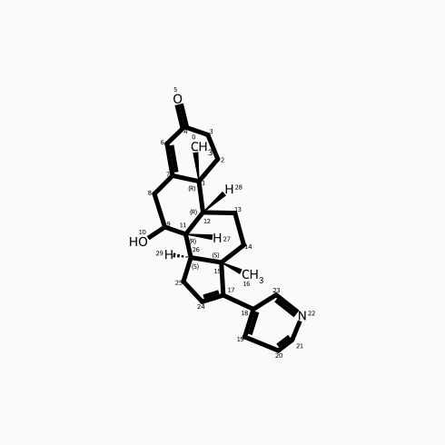 C[C@]12CCC(=O)C=C1CC(O)[C@@H]1[C@H]2CC[C@]2(C)C(c3cccnc3)=CC[C@@H]12